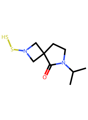 CC(C)N1CCC2(CN(SS)C2)C1=O